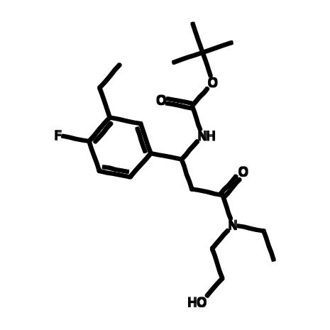 CCc1cc(C(CC(=O)N(CC)CCO)NC(=O)OC(C)(C)C)ccc1F